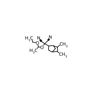 CCOC(C)OC(C#N)(C#N)C1CC2CC1C(C)C2C